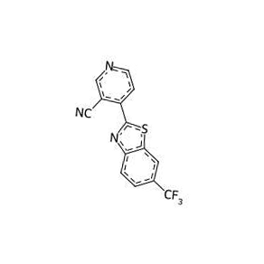 N#Cc1cnccc1-c1nc2ccc(C(F)(F)F)cc2s1